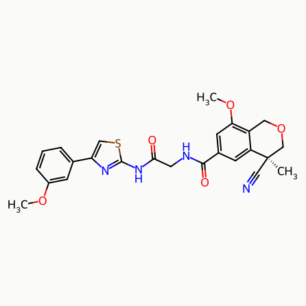 COc1cccc(-c2csc(NC(=O)CNC(=O)c3cc(OC)c4c(c3)[C@](C)(C#N)COC4)n2)c1